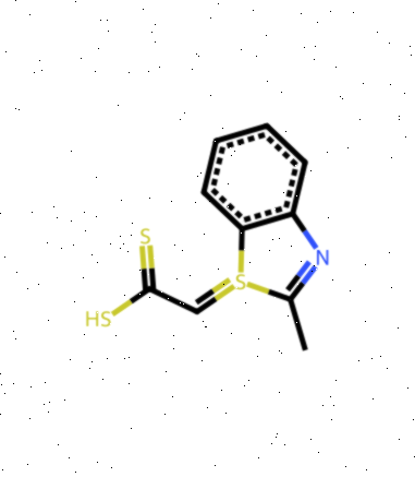 CC1=Nc2ccccc2S1=CC(=S)S